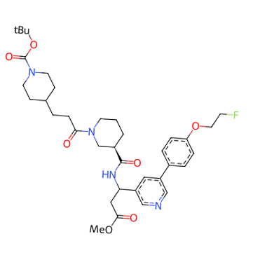 COC(=O)CC(NC(=O)[C@@H]1CCCN(C(=O)CCC2CCN(C(=O)OC(C)(C)C)CC2)C1)c1cncc(-c2ccc(OCCF)cc2)c1